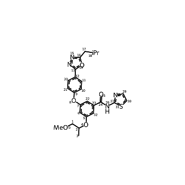 COCC(C)Oc1cc(Oc2ccc(-c3nnc(CC(C)C)o3)cc2)cc(C(=O)Nc2nccs2)c1